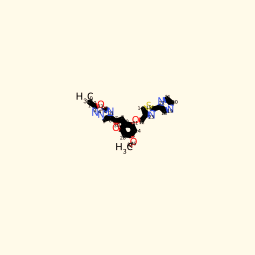 CCc1nn2cc(-c3cc4c(OCc5csc(-c6cnccn6)n5)cc(OC)cc4o3)nc2o1